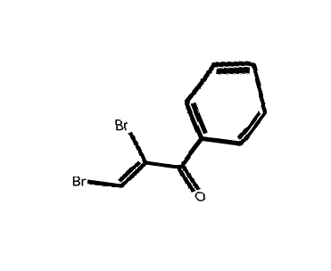 O=C(/C(Br)=C/Br)c1ccccc1